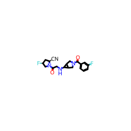 N#C[C@@H]1C[C@H](F)CN1C(=O)CNC1C2CN(C(=O)c3cccc(F)c3)CC21